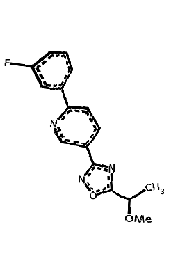 COC(C)c1nc(-c2ccc(-c3cccc(F)c3)nc2)no1